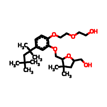 CC(C)(C)CC(C)(C)c1ccc(OCCOCCO)c(OCC2OC(CO)CC2(C)C)c1